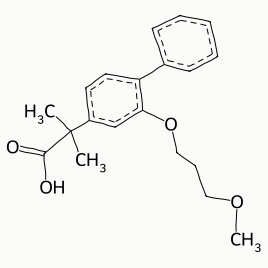 COCCCOc1cc(C(C)(C)C(=O)O)ccc1-c1ccccc1